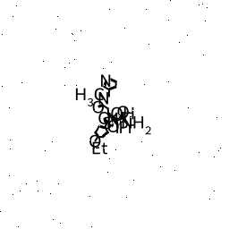 CCOc1ccc(S(=O)(=O)[N+](O)(CCC(=O)N(C)Cc2cccnc2)[C@@H](C(N)=O)C(C)C)cc1